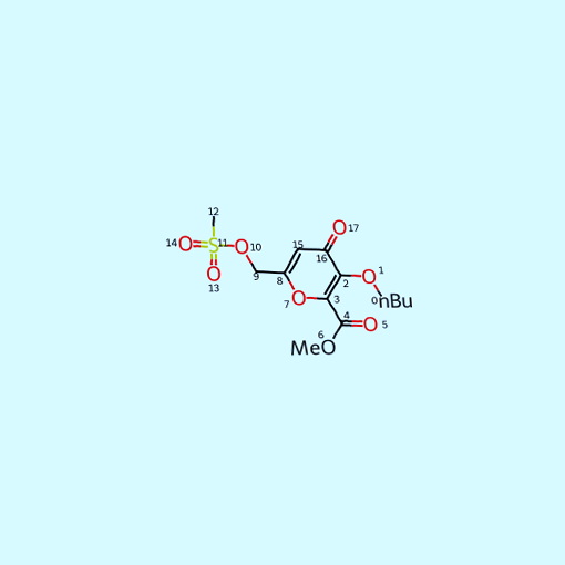 CCCCOc1c(C(=O)OC)oc(COS(C)(=O)=O)cc1=O